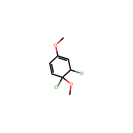 COC1=CC(Cl)C(Cl)(OC)C=C1